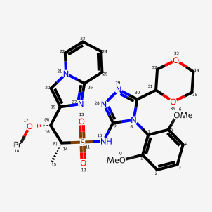 COc1cccc(OC)c1-n1c(NS(=O)(=O)[C@H](C)[C@H](OC(C)C)c2cn3ccccc3n2)nnc1C1COCCO1